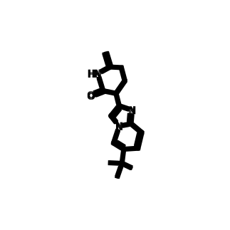 C=C1CCC(c2cn3cc(C(C)(C)C)ccc3n2)C(=O)N1